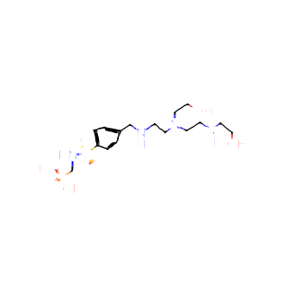 C[C@H](O)CNCCN(CCNCc1ccc(S(=O)(=O)NCP(=O)(O)O)cc1)C[C@H](C)O